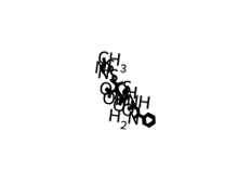 Cc1nnc(SCC2=C(C(=O)O)N3C(=O)C(NC(=O)CC(N)c4ccccc4)[C@@H]3SC2)s1